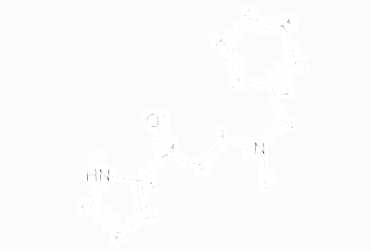 CN(CCC(=O)c1ccc[nH]1)Cc1ccccc1